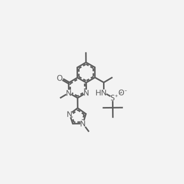 Cc1cc(C(C)N[S@+]([O-])C(C)(C)C)c2nc(-c3cn(C)cn3)n(C)c(=O)c2c1